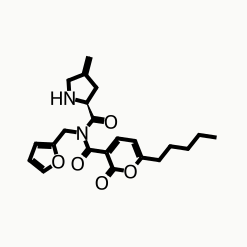 C=C1CN[C@H](C(=O)N(Cc2ccco2)C(=O)c2ccc(CCCCC)oc2=O)C1